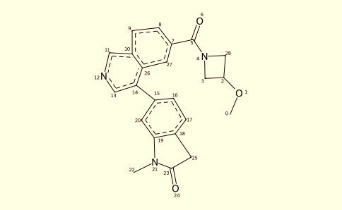 COC1CN(C(=O)c2ccc3cncc(-c4ccc5c(c4)N(C)C(=O)C5)c3c2)C1